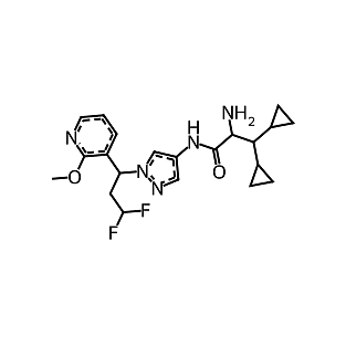 COc1ncccc1C(CC(F)F)n1cc(NC(=O)C(N)C(C2CC2)C2CC2)cn1